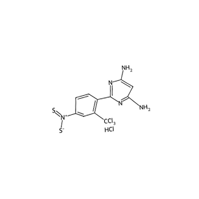 Cl.Nc1cc(N)nc(-c2ccc([N+](=S)[S-])cc2C(Cl)(Cl)Cl)n1